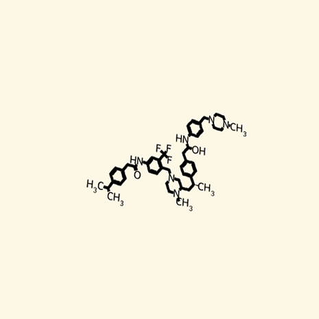 CC(C)c1ccc(CC(=O)Nc2ccc(CN3CCN(C)C(C[C@@H](C)c4ccc(CC(O)Nc5ccc(CN6CCN(C)CC6)cc5)cc4)C3)c(C(F)(F)F)c2)cc1